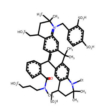 CCN1c2cc3c(cc2C(CS(=O)(=O)O)CC1(C)C)C(c1ccccc1C(=O)N(C)CCCC(=O)O)=c1cc2c(cc1C3(C)C)=[N+](Cc1ccc(S(=O)(=O)O)cc1S(=O)(=O)O)C(C)(C)CC2CS(=O)(=O)O